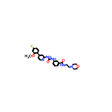 COc1cc(F)ccc1-c1ccnc(NC(=O)Nc2cccc(C(=O)NCCN3CCOCC3)c2)c1